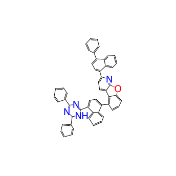 c1ccc(C2=NC(c3ccccc3)NC(c3ccc(-c4cccc5oc6nc(-c7ccc(-c8ccccc8)c8ccccc78)ccc6c45)c4ccccc34)=N2)cc1